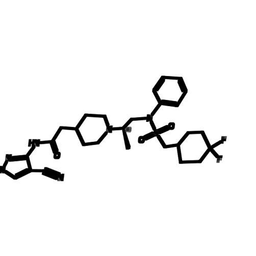 C[C@H](CN(c1ccccc1)S(=O)(=O)CC1CCC(F)(F)CC1)N1CCC(CC(=O)Nc2n[nH]cc2C#N)CC1